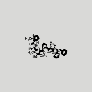 CC[C@H](C)[C@@H]([C@@H](CC(=O)N1CCC[C@H]1[C@H](OC)[C@@H](C)C(=O)N[C@H](Cc1ccccc1)c1ncccn1)OC)N(C)C(=O)[C@@H](NC(=O)[C@@H]1[C@H]2CC[C@H](C2)N1C)C(C)C